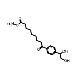 NOC(=O)CCCCCCCC(=O)c1ccc(C(O)CO)cc1